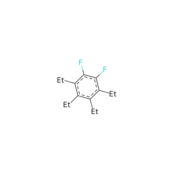 CCc1c(F)c(F)c(CC)c(CC)c1CC